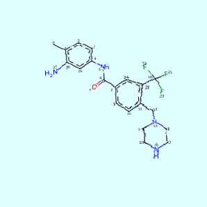 Cc1ccc(NC(=O)c2ccc(CN3CCNCC3)c(C(F)(F)F)c2)cc1N